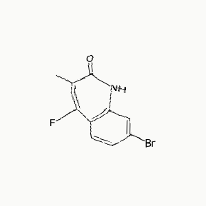 Cc1c(F)c2ccc(Br)cc2[nH]c1=O